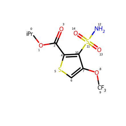 CC(C)OC(=O)c1scc(OC(F)(F)F)c1S(N)(=O)=O